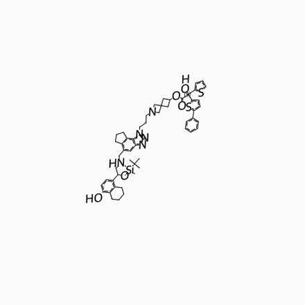 CC(C)(C)[Si](C)(C)OC(CNCc1cc2nnn(CCCN3CC4(CC(OC(=O)[C@](O)(c5cccs5)c5ccc(-c6ccccc6)s5)C4)C3)c2c2c1CCC2)c1ccc(O)c2c1CCCC2